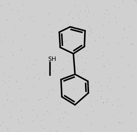 CS.c1ccc(-c2ccccc2)cc1